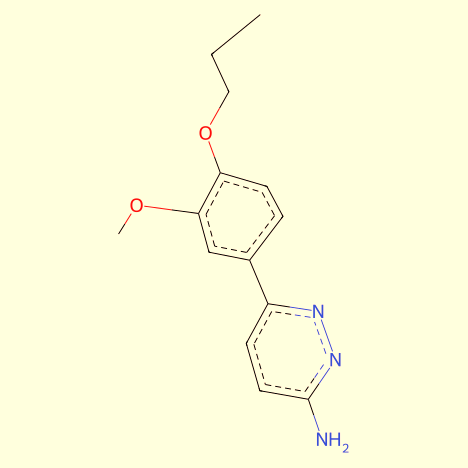 CCCOc1ccc(-c2ccc(N)nn2)cc1OC